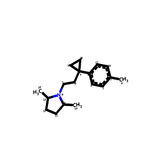 Cc1ccc(C2(CCN3C(C)CCC3C)CC2)cc1